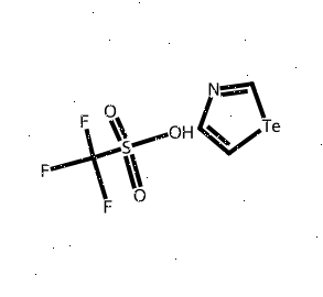 O=S(=O)(O)C(F)(F)F.c1c[te]cn1